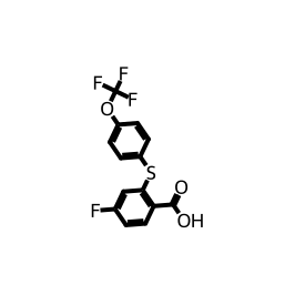 O=C(O)c1ccc(F)cc1Sc1ccc(OC(F)(F)F)cc1